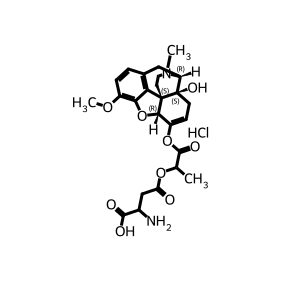 COc1ccc2c3c1O[C@H]1C(OC(=O)C(C)OC(=O)CC(N)C(=O)O)=CC[C@@]4(O)[C@@H](C2)N(C)CC[C@]314.Cl